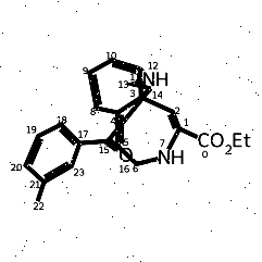 CCOC(=O)C1=CC23C(=CCN1)C=CC=C2NCC3C(=O)c1cccc(C)c1